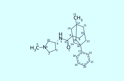 CN1CC[C@@H](NC(=O)C23CC4CC(C)(C2)CC(c2ccccc2)(C4)C3)C1